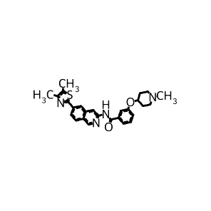 Cc1nc(-c2ccc3cnc(NC(=O)c4cccc(OC5CCN(C)CC5)c4)cc3c2)sc1C